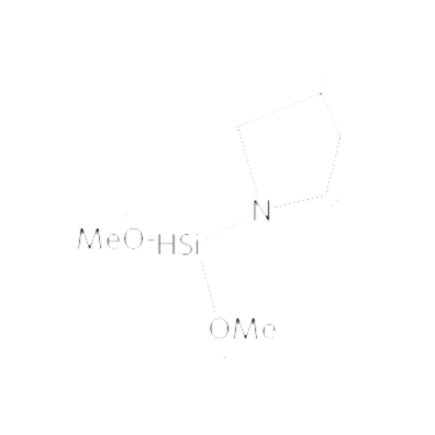 CO[SiH](OC)N1CCCC1